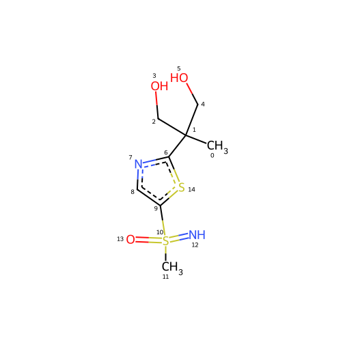 CC(CO)(CO)c1ncc(S(C)(=N)=O)s1